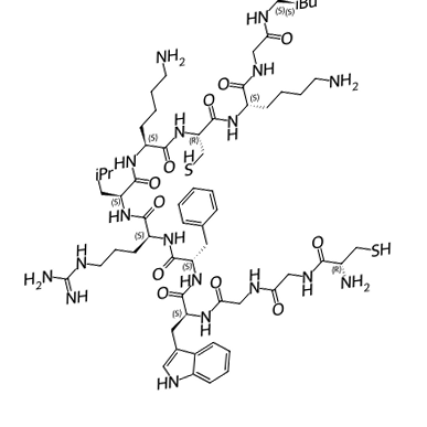 CC[C@H](C)[C@H](NC(=O)CNC(=O)[C@H](CCCCN)NC(=O)[C@H](CS)NC(=O)[C@H](CCCCN)NC(=O)[C@H](CC(C)C)NC(=O)[C@H](CCCNC(=N)N)NC(=O)[C@H](Cc1ccccc1)NC(=O)[C@H](Cc1c[nH]c2ccccc12)NC(=O)CNC(=O)CNC(=O)[C@@H](N)CS)C(=O)O